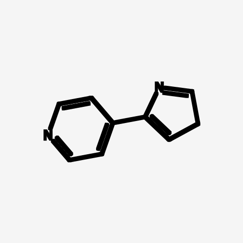 C1=NC(c2ccncc2)=CC1